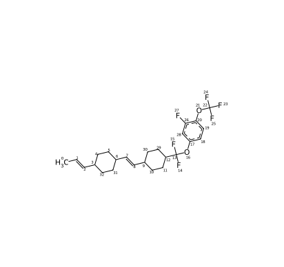 C/C=C/C1CCC(/C=C/C2CCC(C(F)(F)Oc3ccc(OC(F)(F)F)c(F)c3)CC2)CC1